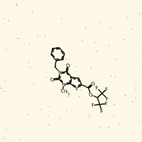 Cn1c(=O)n(Cc2ccccc2)c(=O)c2cc(C(=O)OC(C(F)(F)F)C(F)(F)F)sc21